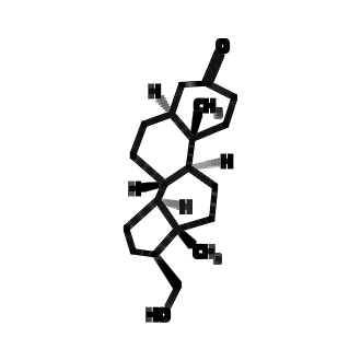 C[C@]12CCC(=O)C[C@@H]1CC[C@@H]1[C@@H]2CC[C@]2(C)[C@@H](CO)CC[C@@H]12